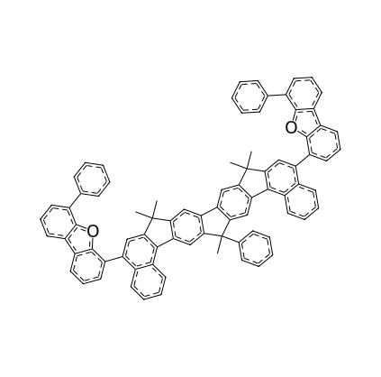 CC1(C)c2cc3c(cc2-c2c1cc(-c1cccc4c1oc1c(-c5ccccc5)cccc14)c1ccccc21)C(C)(c1ccccc1)c1cc2c(cc1-3)C(C)(C)c1cc(-c3cccc4c3oc3c(-c5ccccc5)cccc34)c3ccccc3c1-2